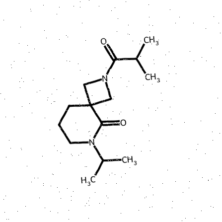 CC(C)C(=O)N1CC2(CCCN(C(C)C)C2=O)C1